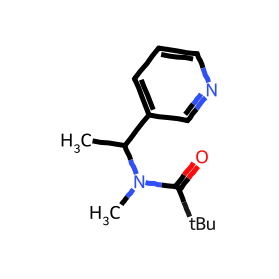 CC(c1cccnc1)N(C)C(=O)C(C)(C)C